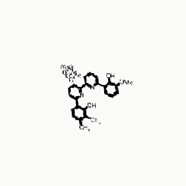 CC(=O)[O-].CC(=O)[O-].CC(=O)[O-].COc1cccc(-c2cccc(-c3cccc(-c4ccc(C)c(C)c4O)n3)n2)c1O.[Mn+3]